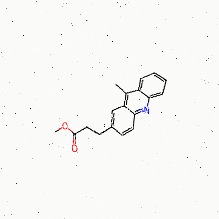 COC(=O)CCc1ccc2nc3ccccc3c(C)c2c1